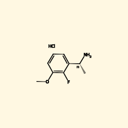 COc1cccc([C@@H](C)N)c1F.Cl